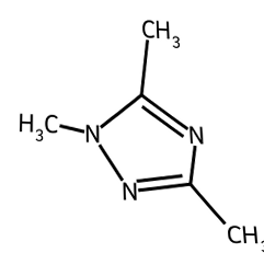 Cc1nc(C)n(C)n1